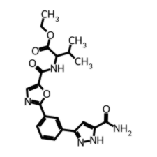 CCOC(=O)C(NC(=O)c1cnc(-c2cccc(-c3cc(C(N)=O)[nH]n3)c2)o1)C(C)C